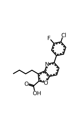 CCCCc1c(C(=O)O)oc2ccc(-c3ccc(Cl)c(F)c3)nc12